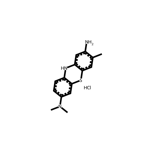 Cc1cc2c(cc1N)Nc1ccc(N(C)C)cc1S2.Cl